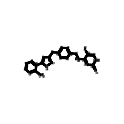 Nc1ncccc1-c1cc(Cc2ccc(CNc3nc(=O)[nH]cc3F)cc2)no1